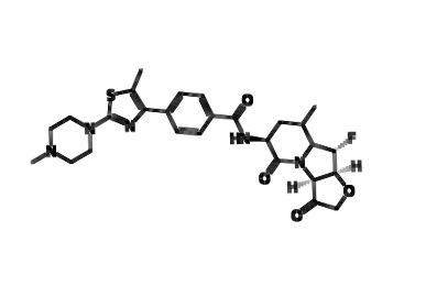 Cc1sc(N2CCN(C)CC2)nc1-c1ccc(C(=O)N[C@H]2CC(C)C3[C@H](F)[C@H]4OCC(=O)[C@H]4N3C2=O)cc1